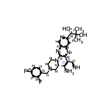 CC(C)(O)[C@@H](O)c1cc2nc(/C(C=N)=C/N)c(N3CCN(Cc4ccc(F)cc4F)CC3)nc2cn1